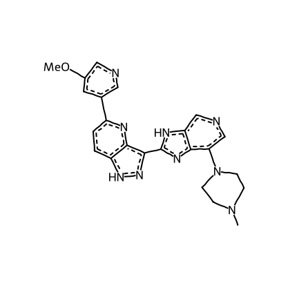 COc1cncc(-c2ccc3[nH]nc(-c4nc5c(N6CCN(C)CC6)cncc5[nH]4)c3n2)c1